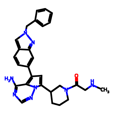 CNCC(=O)N1CCCC(c2cc(-c3ccc4cn(Cc5ccccc5)nc4c3)c3c(N)ncnn23)C1